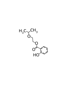 CC(C)OCCOC(=O)c1ccccc1O